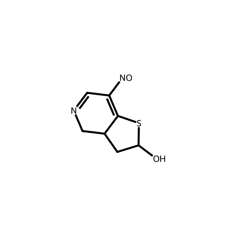 O=NC1=C2SC(O)CC2CN=C1